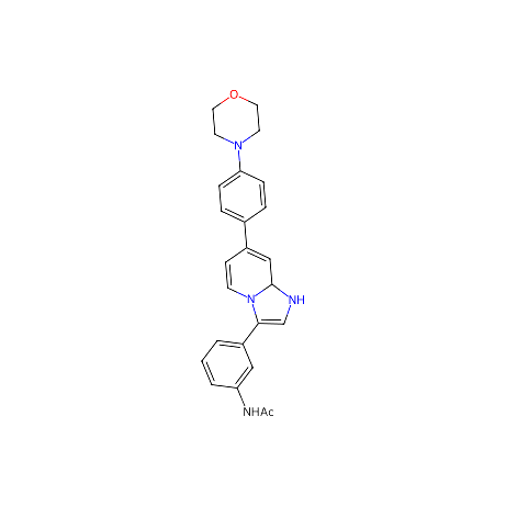 CC(=O)Nc1cccc(C2=CNC3C=C(c4ccc(N5CCOCC5)cc4)C=CN23)c1